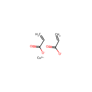 C=CC(=O)[O-].C=CC(=O)[O-].[Cu+2]